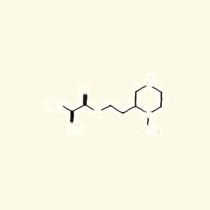 C=C(C)C(=O)OCCC1CNCCN1C